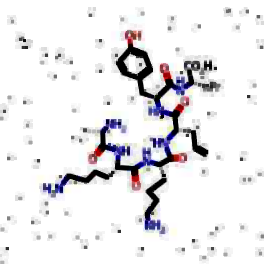 C=CC[C@H](NC(=O)[C@H](CCCCN)NC(=O)[C@H](CCCCN)NC(=O)[C@H](C)N)C(=O)N[C@@H](Cc1ccc(O)cc1)C(=O)N[C@@H](CCC)C(=O)O